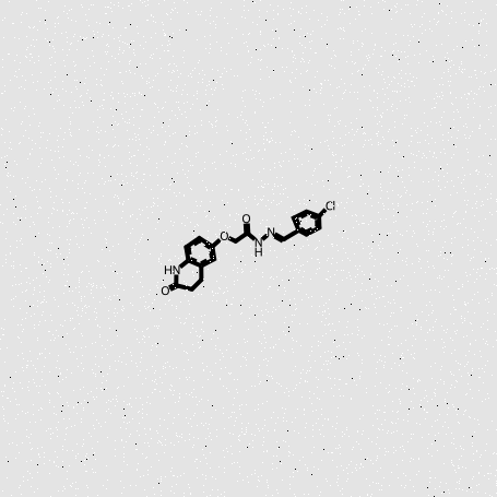 O=C(COc1ccc2c(c1)CCC(=O)N2)NN=Cc1ccc(Cl)cc1